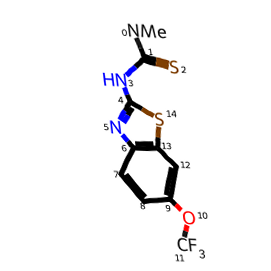 CNC(=S)Nc1nc2ccc(OC(F)(F)F)cc2s1